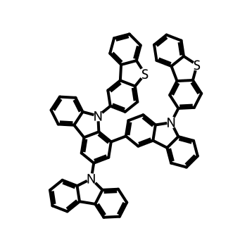 c1ccc2c(c1)sc1ccc(-n3c4ccccc4c4cc(-c5cc(-n6c7ccccc7c7ccccc76)cc6c7ccccc7n(-c7ccc8sc9ccccc9c8c7)c56)ccc43)cc12